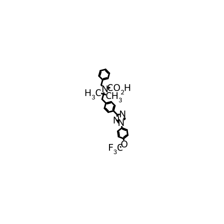 CC(C)(Cc1ccc(-c2ncn(-c3ccc(OC(F)(F)F)cc3)n2)cc1)N(Cc1ccccc1)C(=O)O